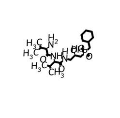 CC(C)[C@H](N)C(=O)N[C@@H](C(=O)NC[C@H](O)CP(=O)(O)CC1CCCCC1)C(C)C